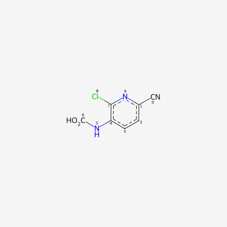 N#Cc1ccc(NC(=O)O)c(Cl)n1